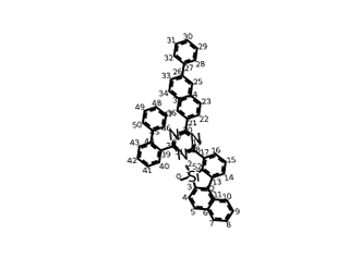 C[Si]1(C)c2ccc3ccccc3c2-c2cccc(-c3nc(-c4ccc5cc(-c6ccccc6)ccc5c4)nc(-c4ccccc4-c4ccccc4)n3)c21